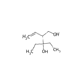 C=CC(CO)C(O)(CC)CC